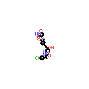 Cc1c(C(=O)N2CCC(O)(C#Cc3ccc4c(c3)CN(C3CCC(=O)NC3=O)C4=O)CC2)[nH]c2cc(Cl)ccc12